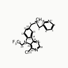 CN(Cc1cccnc1)Cc1ccc2c(c1)c1ncnc(Cl)c1n2CC(F)(F)F